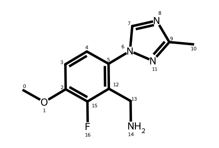 COc1ccc(-n2cnc(C)n2)c(CN)c1F